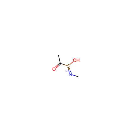 C/N=S(\O)C(C)=O